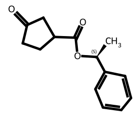 C[C@H](OC(=O)C1CCC(=O)C1)c1ccccc1